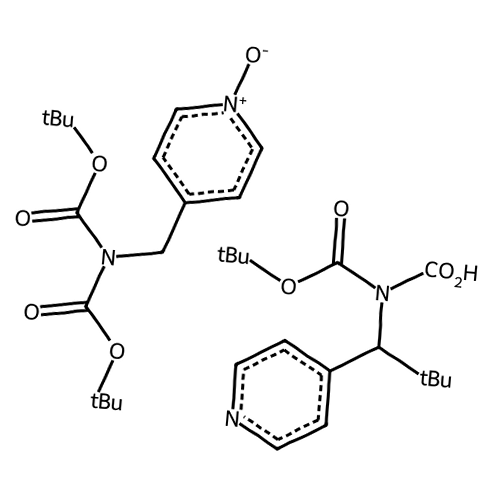 CC(C)(C)OC(=O)N(C(=O)O)C(c1ccncc1)C(C)(C)C.CC(C)(C)OC(=O)N(Cc1cc[n+]([O-])cc1)C(=O)OC(C)(C)C